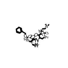 CC(C)CC(NC(=O)[C@H](CC(C)C)NC(=O)OCc1ccccc1)C(=O)c1nn(CCN(C)C)c(=O)o1